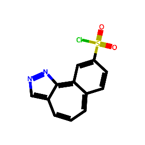 O=S(=O)(Cl)c1ccc2cccc3cnnc-3c2c1